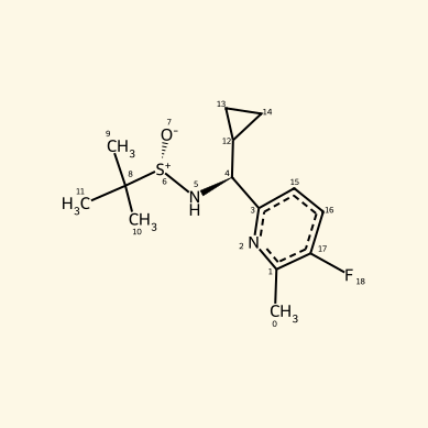 Cc1nc([C@@H](N[S@@+]([O-])C(C)(C)C)C2CC2)ccc1F